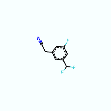 N#CCc1cc(F)cc(C(F)F)c1